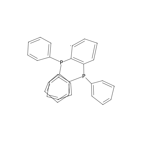 [c]1cccc(P(c2ccccc2)c2ccccc2)c1P(c1ccccc1)c1ccccc1